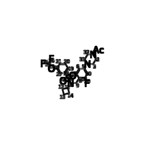 CC(=O)N1CCN(c2ccc(CN(C3CCC3)S(=O)(=O)c3cccc(OC(F)F)c3)c(F)c2)CC1